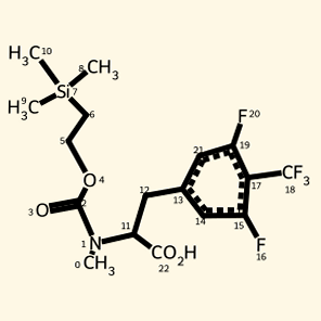 CN(C(=O)OCC[Si](C)(C)C)C(Cc1cc(F)c(C(F)(F)F)c(F)c1)C(=O)O